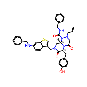 C=CCN1CC(=O)N2[C@@H](Cc3ccc(O)cc3)C(=O)N(CC3=CSC4C=C(NCc5ccccc5)C=CC34)C[C@@H]2N1C(=O)NCc1ccccc1